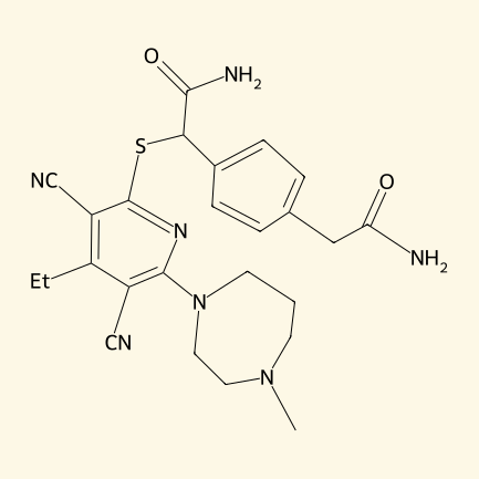 CCc1c(C#N)c(SC(C(N)=O)c2ccc(CC(N)=O)cc2)nc(N2CCCN(C)CC2)c1C#N